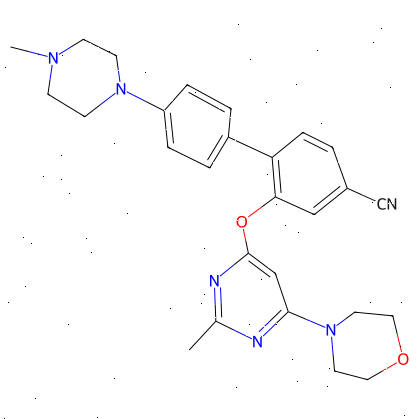 Cc1nc(Oc2cc(C#N)ccc2-c2ccc(N3CCN(C)CC3)cc2)cc(N2CCOCC2)n1